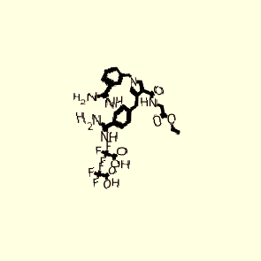 CCOC(=O)CNC(=O)c1cn(Cc2cccc(C(=N)N)c2)cc1Cc1ccc(C(=N)N)cc1.O=C(O)C(F)(F)F.O=C(O)C(F)(F)F